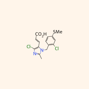 CSc1ccc(Cn2c(C)nc(Cl)c2C=CC(=O)O)c(Cl)c1